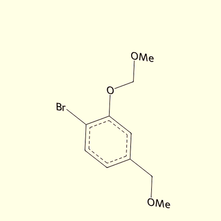 COCOc1cc(COC)ccc1Br